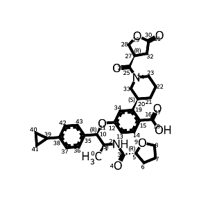 C[C@H](NC(=O)[C@H]1CCCO1)[C@H](Oc1ccc(C(=O)O)c([C@@H]2CCCN(C(=O)[C@H]3COC(=O)C3)C2)c1)c1ccc(C2CC2)cc1